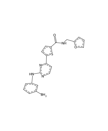 Bc1cccc(Nc2nccc(-c3ccc(C(=O)NCc4ccco4)s3)n2)c1